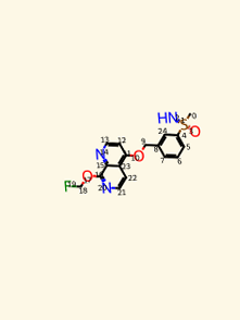 CS(=N)(=O)c1cccc(COc2ccnc3c(OCF)nccc23)c1